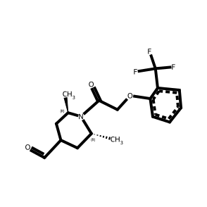 C[C@@H]1CC(C=O)C[C@@H](C)N1C(=O)COc1ccccc1C(F)(F)F